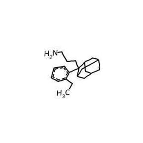 CCc1ccccc1C1(CCCN)C2CC3CC(C2)CC1C3